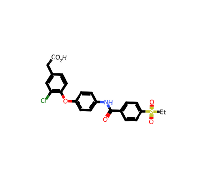 CCS(=O)(=O)c1ccc(C(=O)Nc2ccc(Oc3ccc(CC(=O)O)cc3Cl)cc2)cc1